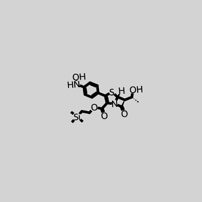 C[C@@H](O)[C@H]1C(=O)N2C(C(=O)OCC[Si](C)(C)C)=C(c3ccc(NO)cc3)S[C@H]12